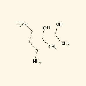 CCO.CCO.NCCC[SiH3]